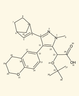 Cn1nc(C2=CC3CCC2C3)c(-c2ccc3c(c2)CCCO3)c1C(OC(C)(C)C)C(=O)O